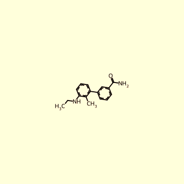 CCNc1cccc(-c2cccc(C(N)=O)c2)c1C